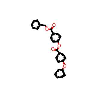 O=C(OCc1ccccc1)c1ccc(OC(=O)c2ccc(Oc3ccccc3)cc2)cc1